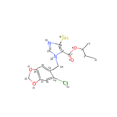 CCC(C)OC(=O)c1c(S)ncn1Cc1cc2c(cc1Cl)OCO2